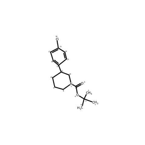 CC(C)(C)OC(=O)N1CCCC(c2ccc(Cl)cc2)C1